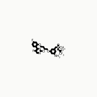 CS(=O)(Cc1cc(N)cc(OCCCCOc2cc(F)ccc2-c2nc(Cl)ncc2F)c1)=NC(=O)C(F)(F)F